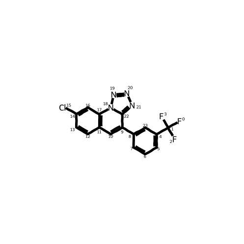 FC(F)(F)c1cccc(-c2cc3ccc(Cl)cc3n3nnnc23)c1